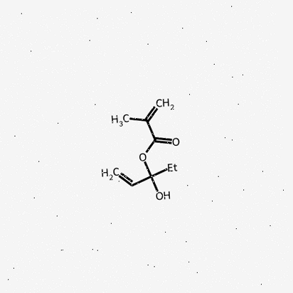 C=CC(O)(CC)OC(=O)C(=C)C